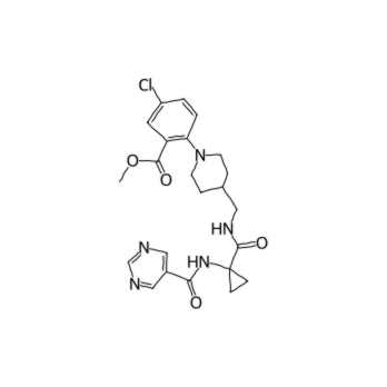 COC(=O)c1cc(Cl)ccc1N1CCC(CNC(=O)C2(NC(=O)c3cncnc3)CC2)CC1